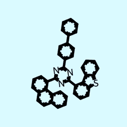 c1ccc(-c2ccc(-c3nc(-c4cccc5ccc6ccccc6c45)nc(-c4cccc5sc6ccccc6c45)n3)cc2)cc1